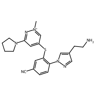 C[n+]1cc(Sc2cc(C#N)ccc2-n2cc(CCN)cn2)cc(N2CCCC2)n1